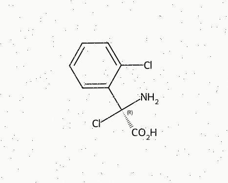 N[C@](Cl)(C(=O)O)c1ccccc1Cl